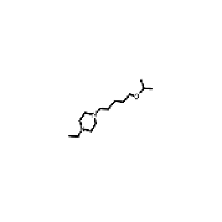 CCN1CCN(CCCCCOC(C)C)CC1